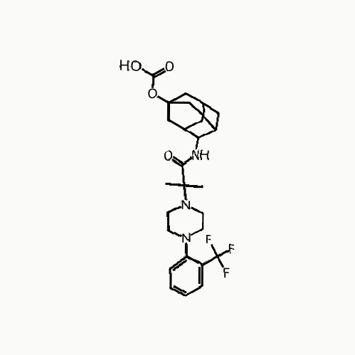 CC(C)(C(=O)NC1C2CC3CC1CC(OC(=O)O)(C3)C2)N1CCN(c2ccccc2C(F)(F)F)CC1